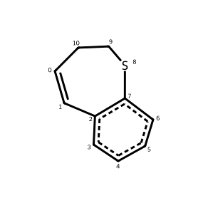 C1=Cc2ccccc2SCC1